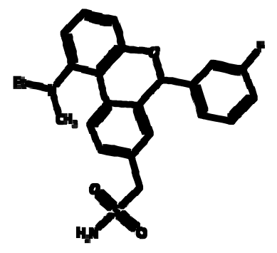 CCN(C)c1cccc2c1-c1ccc(CS(N)(=O)=O)cc1C(c1cccc(F)c1)O2